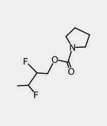 CC(F)C(F)COC(=O)N1CCCC1